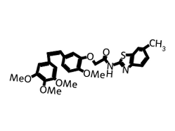 COc1ccc(/C=C\c2cc(OC)c(OC)c(OC)c2)cc1OCC(=O)Nc1nc2ccc(C)cc2s1